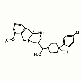 COc1cccc2c1C[C@H]1C[C@H](C(C)N3CCC(O)(c4ccc(Cl)cc4)CC3)CN[C@@H]1C2